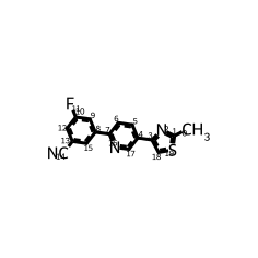 Cc1nc(-c2ccc(-c3cc(F)cc(C#N)c3)nc2)cs1